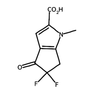 Cn1c(C(=O)O)cc2c1CC(F)(F)C2=O